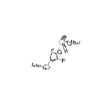 CC(=O)Nc1cc(-c2cc(F)c(OC[C@H](CC(C)C)NC(=O)OC(C)(C)C)c(F)c2)ccn1